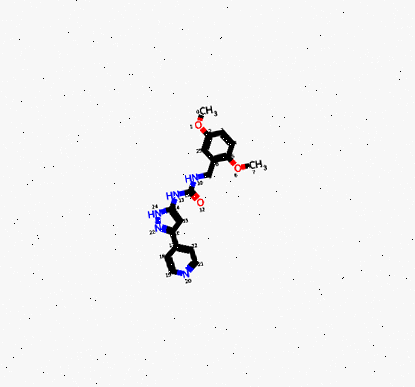 COc1ccc(OC)c(CNC(=O)Nc2cc(-c3ccncc3)n[nH]2)c1